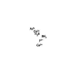 B.B.[As-3].[Ga+3].[Ga+3].[P-3]